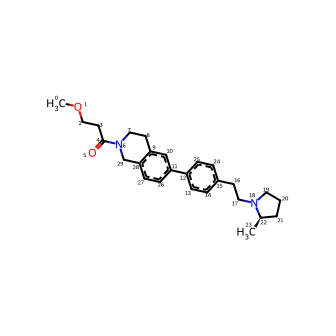 COCCC(=O)N1CCc2cc(-c3ccc(CCN4CCC[C@H]4C)cc3)ccc2C1